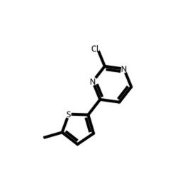 Cc1ccc(-c2ccnc(Cl)n2)s1